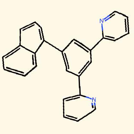 c1ccc(-c2cc(-c3ccccn3)cc(-c3cccc4ccccc34)c2)nc1